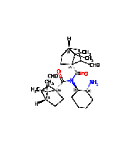 CC1(C)[C@@H]2CC[C@]1(C(=O)N(C(=O)[C@@]13CC[C@H](CC1C=O)C3(C)C)[C@@H]1CCCC[C@H]1N)C(C=O)C2